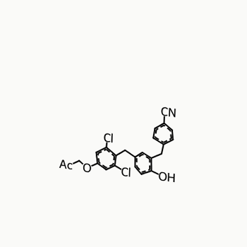 CC(=O)COc1cc(Cl)c(Cc2ccc(O)c(Cc3ccc(C#N)cc3)c2)c(Cl)c1